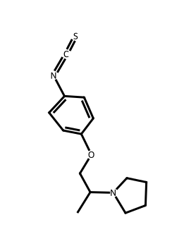 CC(COc1ccc(N=C=S)cc1)N1CCCC1